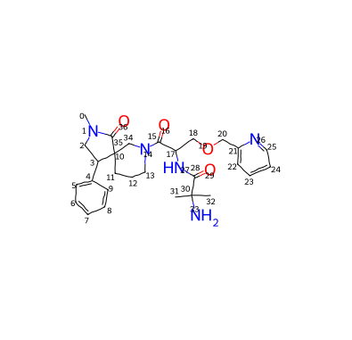 CN1CC(c2ccccc2)C2(CCCN(C(=O)C(COCc3ccccn3)NC(=O)C(C)(C)N)C2)C1=O